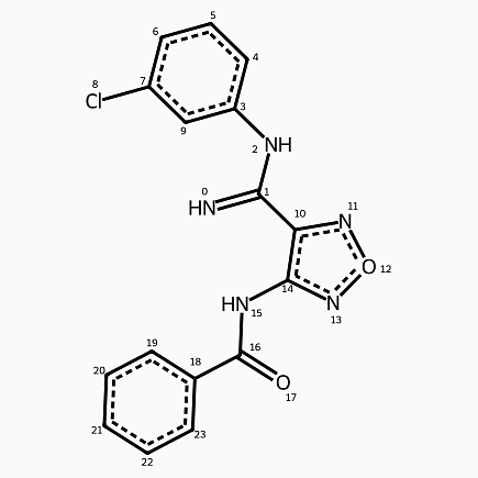 N=C(Nc1cccc(Cl)c1)c1nonc1NC(=O)c1ccccc1